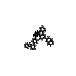 c1ccc2cc(-c3ccc4c(c3)c3ccccc3c3nnc(-c5ccc(-c6cccc7c6sc6ccccc67)cc5)n43)ccc2c1